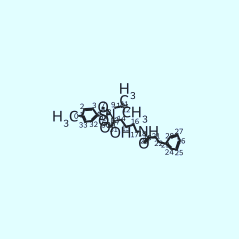 Cc1ccc(S(=O)(=O)N(CC(C)C)[C@@H](CCCCNC(=O)CCc2ccccc2)C(=O)O)cc1